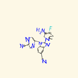 N#Cc1ccc2c(c1)nc(N1CC[C@@H](F)[C@H](N)C1)n2Cc1cnc(C#N)cn1